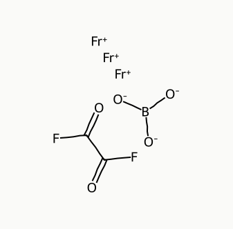 O=C(F)C(=O)F.[Fr+].[Fr+].[Fr+].[O-]B([O-])[O-]